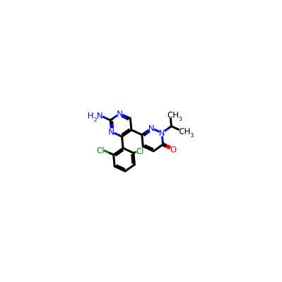 CC(C)n1nc(-c2cnc(N)nc2-c2c(Cl)cccc2Cl)ccc1=O